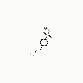 [CH2]CS(=O)(=O)c1ccc(CCC)cc1